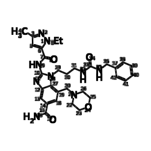 CCn1nc(C)cc1C(=O)Nc1nc2cc(C(N)=O)cc(CN3CCOCC3)c2n1CCCNC(=O)NCc1ccccc1